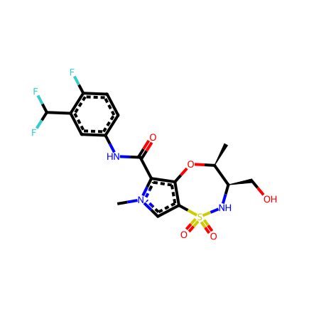 C[C@@H]1Oc2c(cn(C)c2C(=O)Nc2ccc(F)c(C(F)F)c2)S(=O)(=O)N[C@@H]1CO